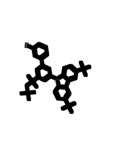 CC(C)(C)CC(C)(C)c1cc(-c2cccc(F)c2)cc(-n2c3ccc(C(C)(C)C)cc3c3cc(C(C)(C)C)ccc32)c1